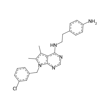 Cc1c(C)n(Cc2cccc(Cl)c2)c2ncnc(NCCc3ccc(N)cc3)c12